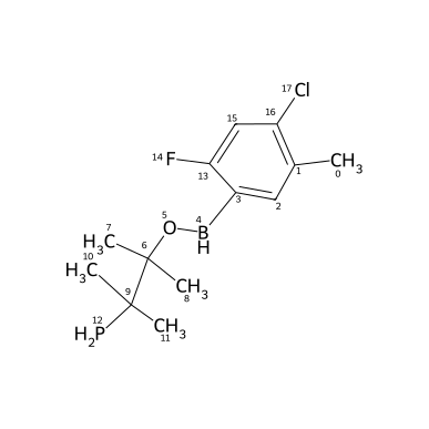 Cc1cc(BOC(C)(C)C(C)(C)P)c(F)cc1Cl